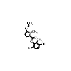 CCOC1CCC(C(=O)Oc2c(O)ccc(O)c2C)N1C